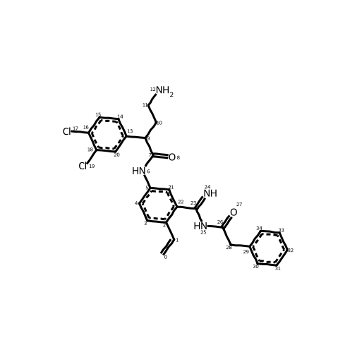 C=Cc1ccc(NC(=O)C(CCN)c2ccc(Cl)c(Cl)c2)cc1C(=N)NC(=O)Cc1ccccc1